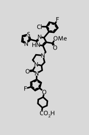 COC(=O)C1=C(CN2CCN3C(=O)N(c4cc(F)cc(OC5CCC(C(=O)O)CC5)c4)CC3C2)NC(c2nccs2)=NC1c1ccc(F)cc1Cl